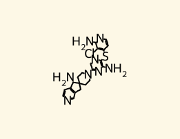 Nc1nc(N2CCC3(CC2)Cc2cnccc2C3N)cnc1Sc1ccnc(N)c1Cl